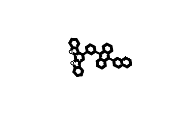 c1cc(-c2c3ccccc3c(-c3ccc4ccccc4c3)c3ccccc23)cc(-c2cc3c4ccccc4oc3c3oc4ccccc4c23)c1